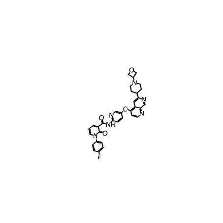 O=C(Nc1ccc(Oc2ccnc3cnc(C4CCN(C5COC5)CC4)cc23)cn1)c1cccn(-c2ccc(F)cc2)c1=O